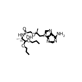 CCCOC(OCCC)[C@H](C)NP(=O)(O)CO[C@@H](C)Cn1cnc2c(N)ncnc21